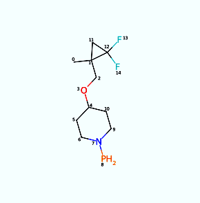 CC1(COC2CCN(P)CC2)CC1(F)F